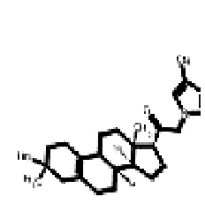 C[C@@]1(O)CCC2=C(CC[C@@H]3C2CC[C@]2(C)[C@@H](C(=O)Cn4cc(C#N)cn4)CC[C@@H]32)C1